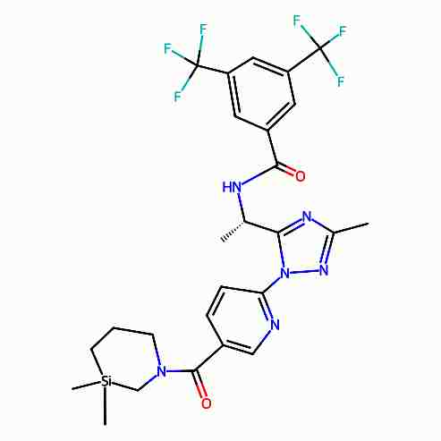 Cc1nc([C@H](C)NC(=O)c2cc(C(F)(F)F)cc(C(F)(F)F)c2)n(-c2ccc(C(=O)N3CCC[Si](C)(C)C3)cn2)n1